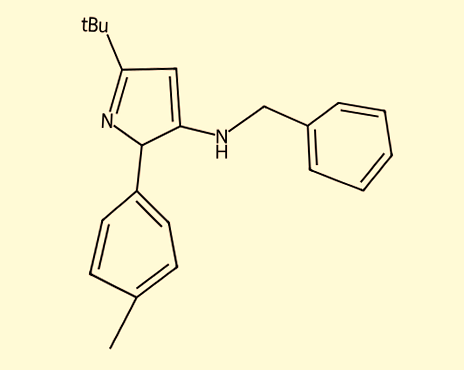 Cc1ccc(C2N=C(C(C)(C)C)C=C2NCc2ccccc2)cc1